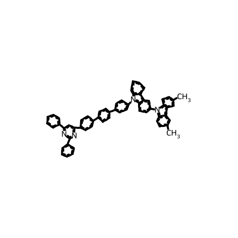 Cc1ccc2c(c1)c1cc(C)ccc1n2-c1ccc2c(c1)c1ccccc1n2-c1ccc(-c2ccc(-c3ccc(-c4cc(-c5ccccc5)nc(-c5ccccc5)n4)cc3)cc2)cc1